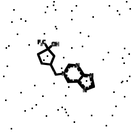 OC1(C(F)(F)F)CCC(Cn2cnc3ncnc-3c2)C1